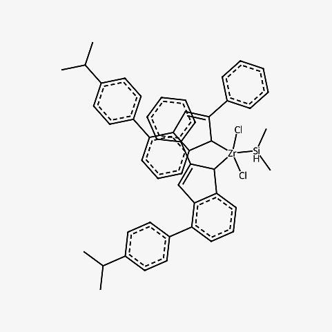 CC(C)c1ccc(-c2cccc3c2C=C(c2ccccc2)[CH]3[Zr]([Cl])([Cl])([CH]2C(c3ccccc3)=Cc3c(-c4ccc(C(C)C)cc4)cccc32)[SiH](C)C)cc1